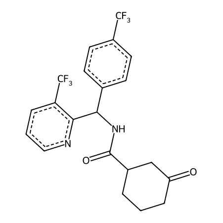 O=C1CCCC(C(=O)NC(c2ccc(C(F)(F)F)cc2)c2ncccc2C(F)(F)F)C1